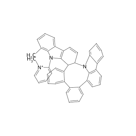 Cc1cccc2c3c(n(-c4cccc[n+]4C)c12)C1c2ccccc2-c2ccccc2-c2cccc4c5ccccc5n(c24)C1C=C3